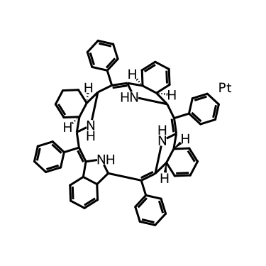 C1=CC2C3=C(c4ccccc4)C4NC(C(c5ccccc5)=C5NC(C(c6ccccc6)=C6NC(=C(c7ccccc7)C(N3)C2C=C1)[C@H]1C=CC=C[C@@H]61)[C@@H]1C=CC=C[C@H]51)[C@@H]1CCC=C[C@H]41.[Pt]